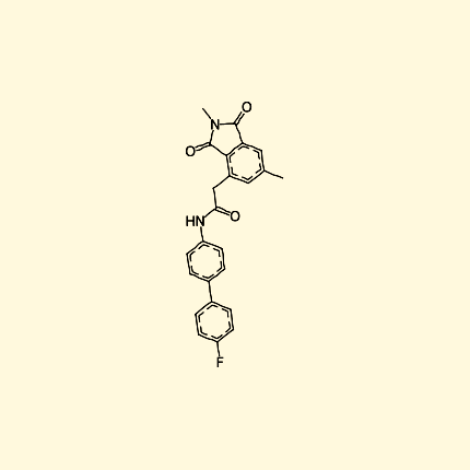 Cc1cc(CC(=O)Nc2ccc(-c3ccc(F)cc3)cc2)c2c(c1)C(=O)N(C)C2=O